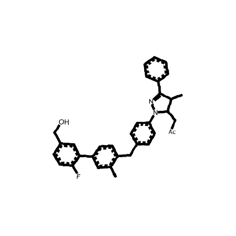 CC(=O)CC1C(C)C(c2ccccc2)=NN1c1ccc(Cc2ccc(-c3cc(CO)ccc3F)cc2C)cc1